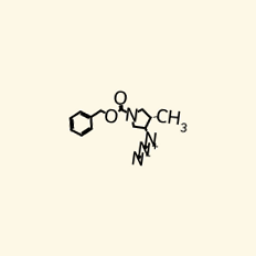 C[C@H]1CN(C(=O)OCc2ccccc2)CC1N=[N+]=[N-]